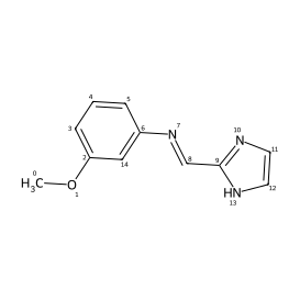 COc1cccc(N=Cc2ncc[nH]2)c1